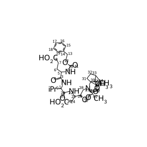 CC(C)C(NC(=O)C(CCC(=O)O)NC(=O)OCc1ccccc1)C(=O)NC(CC(=O)O)C(=O)CN(C12CCC(CC1=O)C2(C)C)S(C)(=O)=O